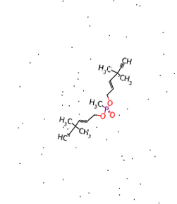 C#CC(C)(C)C=CCOP(C)(=O)OCC=CC(C)(C)C#C